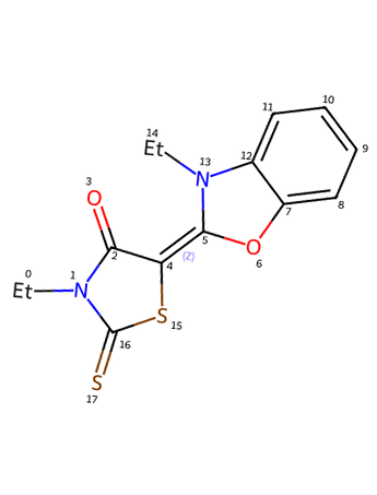 CCN1C(=O)/C(=C2/Oc3ccccc3N2CC)SC1=S